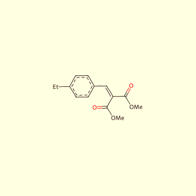 CCc1ccc(C=C(C(=O)OC)C(=O)OC)cc1